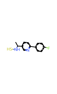 CC(NS)c1ccc(-c2ccc(F)cc2)nc1